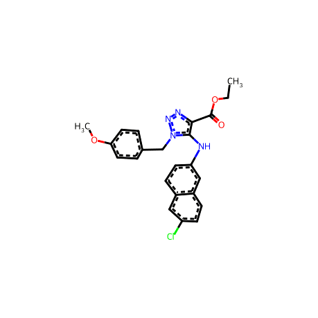 CCOC(=O)c1nnn(Cc2ccc(OC)cc2)c1Nc1ccc2cc(Cl)ccc2c1